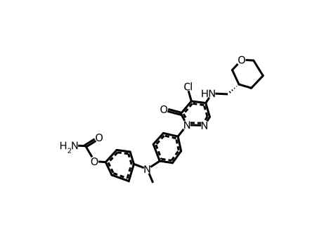 CN(c1ccc(OC(N)=O)cc1)c1ccc(-n2ncc(NC[C@H]3CCCOC3)c(Cl)c2=O)cc1